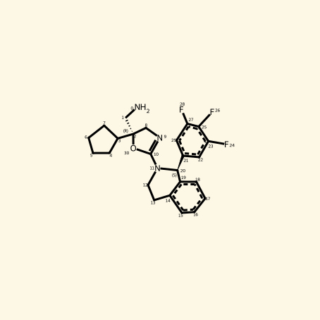 NC[C@]1(C2CCCC2)CN=C(N2CCc3ccccc3[C@@H]2c2cc(F)c(F)c(F)c2)O1